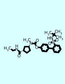 CCNC(=O)[C@H]1CC[C@@H](N(C)C(=O)Oc2ccc(-c3ccccc3S(=O)(=O)NC(C)(C)C)cc2)C1